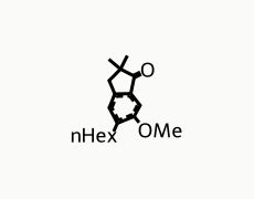 CCCCCCc1cc2c(cc1OC)C(=O)C(C)(C)C2